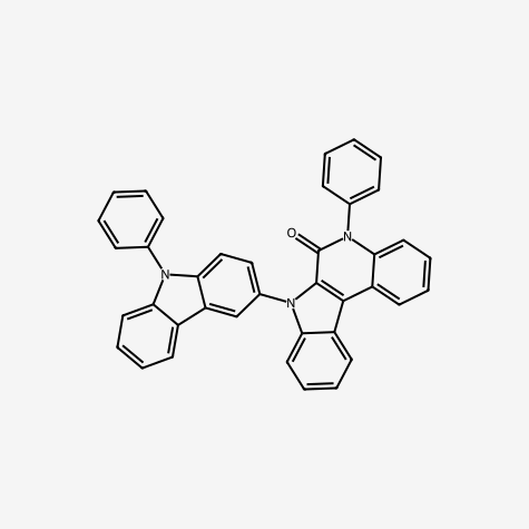 O=c1c2c(c3ccccc3n1-c1ccccc1)c1ccccc1n2-c1ccc2c(c1)c1ccccc1n2-c1ccccc1